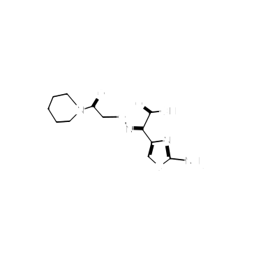 Nc1nc(C(=NOCC(=O)N2CCCCC2)C(=O)O)cs1